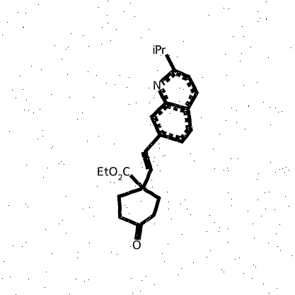 CCOC(=O)C1(/C=C/c2ccc3ccc(C(C)C)nc3c2)CCC(=O)CC1